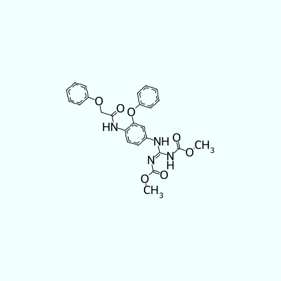 COC(=O)N=C(NC(=O)OC)Nc1ccc(NC(=O)COc2ccccc2)c(Oc2ccccc2)c1